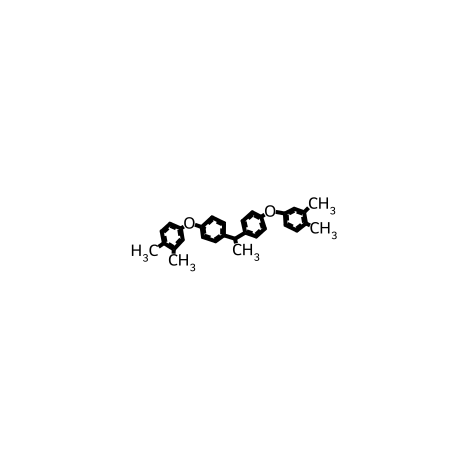 Cc1ccc(Oc2ccc(C(C)c3ccc(Oc4ccc(C)c(C)c4)cc3)cc2)cc1C